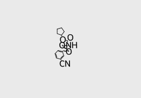 N#Cc1cccc(S(=O)(=O)NC(=O)OC2CCCC2)c1